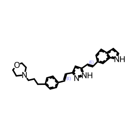 C(=C\c1cc(/C=C/c2ccc3cc[nH]c3c2)[nH]n1)/c1ccc(CCCN2CCOCC2)cc1